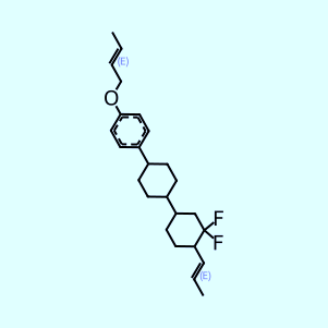 C/C=C/COc1ccc(C2CCC(C3CCC(/C=C/C)C(F)(F)C3)CC2)cc1